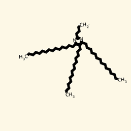 [CH2]CCCc1nc(CCCCCCCCCCCCCCC)c(CCCCCCCCCCCCCCC)c(CCCCCCCCCCCCCCC)n1